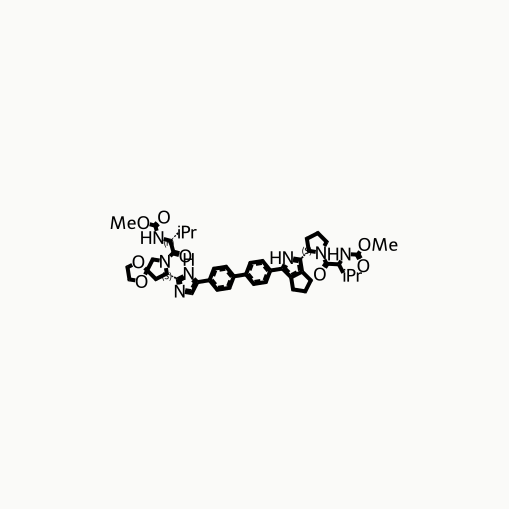 COC(=O)NC(C(=O)N1CCC[C@H]1c1[nH]c(-c2ccc(-c3ccc(-c4cnc([C@@H]5CC6(CN5C(=O)[C@H](NC(=O)OC)C(C)C)OCCO6)[nH]4)cc3)cc2)c2c1CCC2)C(C)C